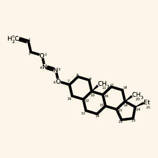 C=CCON=NOC1CC[C@@]2(C)C(CCC3C2CC[C@@]2(C)C3CC[C@@H]2CC)C1